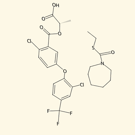 CCSC(=O)N1CCCCCC1.C[C@H](OC(=O)c1cc(Oc2ccc(C(F)(F)F)cc2Cl)ccc1Cl)C(=O)O